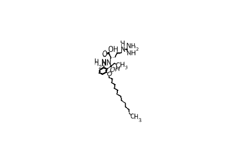 CCCCCCCCCCCCCCOc1cccc(N)c1C(O)(CC)N[C@@H](CCCNC(=N)N)C(=O)O